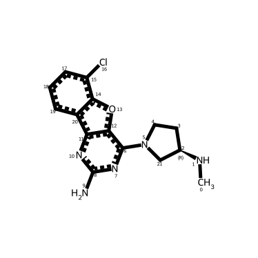 CN[C@@H]1CCN(c2nc(N)nc3c2oc2c(Cl)cccc23)C1